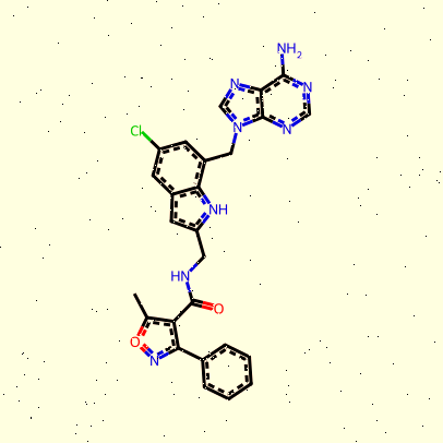 Cc1onc(-c2ccccc2)c1C(=O)NCc1cc2cc(Cl)cc(Cn3cnc4c(N)ncnc43)c2[nH]1